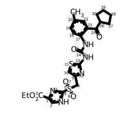 CCOC(=O)c1c[nH]c(S(=O)(=O)Cc2csc(NC(=O)Nc3ccc(C)cc3C(=O)C3CCCC3)n2)n1